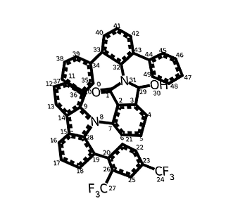 O=C1c2c(cccc2-n2c3ccccc3c3cccc(-c4ccc(C(F)(F)F)cc4C(F)(F)F)c32)C(O)N1c1c(-c2ccccc2)cccc1-c1ccccc1